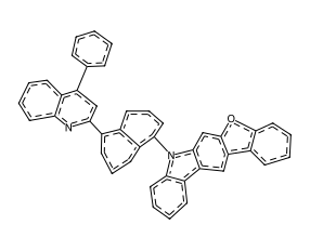 c1ccc(-c2cc(-c3cccc4c(-n5c6ccccc6c6cc7c(cc65)oc5ccccc57)cccc34)nc3ccccc23)cc1